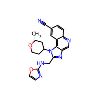 C[C@@H]1CC(n2c(CNc3ncco3)nc3cnc4ccc(C#N)cc4c32)CCO1